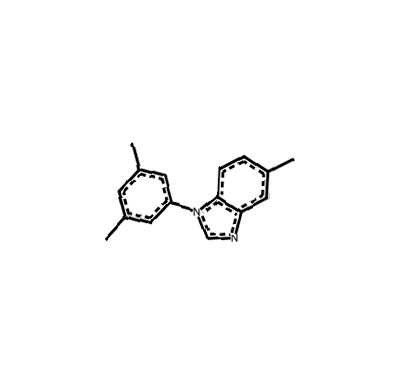 Cc1cc(C)cc(-n2cnc3cc(C)ccc32)c1